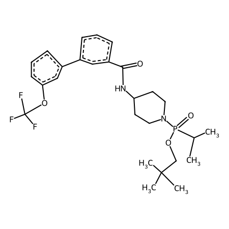 CC(C)P(=O)(OCC(C)(C)C)N1CCC(NC(=O)c2cccc(-c3cccc(OC(F)(F)F)c3)c2)CC1